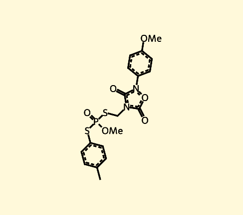 COc1ccc(-n2oc(=O)n(CSP(=O)(OC)Sc3ccc(C)cc3)c2=O)cc1